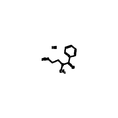 CCCCCCCCCCN(C)C(=O)c1ccccc1.Cl